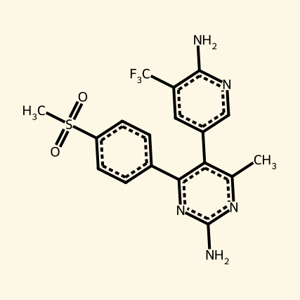 Cc1nc(N)nc(-c2ccc(S(C)(=O)=O)cc2)c1-c1cnc(N)c(C(F)(F)F)c1